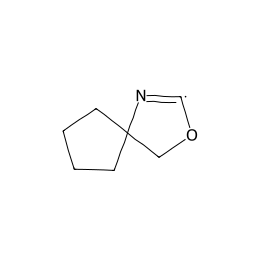 [C]1=NC2(CCCC2)CO1